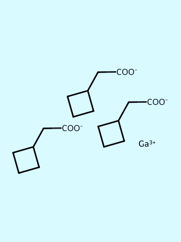 O=C([O-])CC1CCC1.O=C([O-])CC1CCC1.O=C([O-])CC1CCC1.[Ga+3]